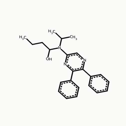 CCCC(O)N(c1cnc(-c2ccccc2)c(-c2ccccc2)n1)C(C)C